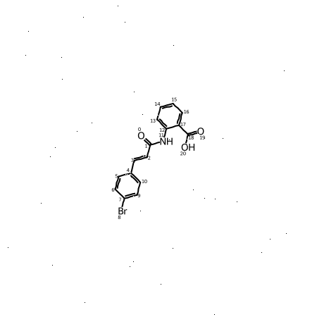 O=C(C=Cc1ccc(Br)cc1)Nc1ccccc1C(=O)O